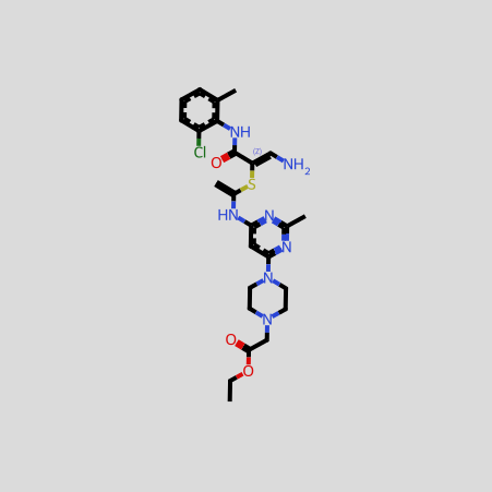 C=C(Nc1cc(N2CCN(CC(=O)OCC)CC2)nc(C)n1)S/C(=C\N)C(=O)Nc1c(C)cccc1Cl